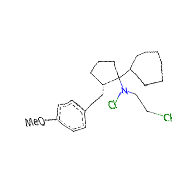 COc1ccc(C[C@@H]2CCCC2(C2CCCCC2)N(Cl)CCCl)cc1